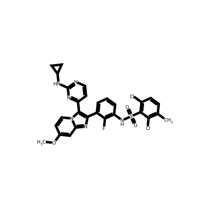 COc1ccn2c(-c3ccnc(NC4CC4)n3)c(-c3cccc(NS(=O)(=O)c4c(Cl)ccc(C)c4Cl)c3F)nc2c1